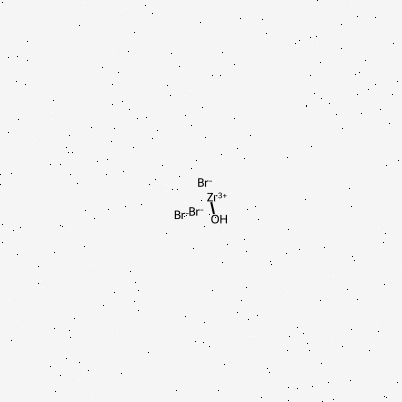 [Br-].[Br-].[Br-].[OH][Zr+3]